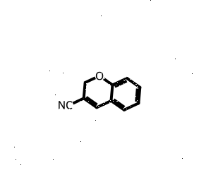 N#CC1=Cc2ccccc2OC1